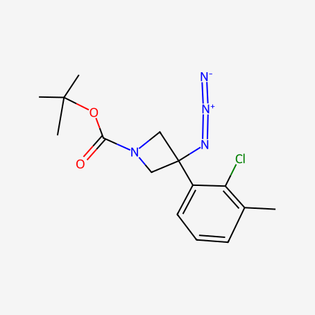 Cc1cccc(C2(N=[N+]=[N-])CN(C(=O)OC(C)(C)C)C2)c1Cl